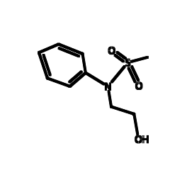 CS(=O)(=O)N(CCO)c1ccccc1